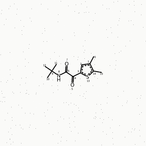 Cc1cc(C(=O)C(=O)NC(C)(C)C)sc1C